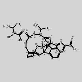 CC(C)[C@H](O)C(=O)N[C@H]1Cc2ccc3c(c2)C2(c4ccccc4N[C@H]2O3)c2oc(nc2-c2nc(C(N)=O)co2)[C@H](C(C)C)NC1=O